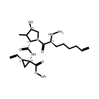 C=CCCCC[C@H](NP)C(=O)N1C[C@H](O)C(C)[C@H]1C(=O)N[C@]1(C(=O)OCCC)C[C@H]1C=C